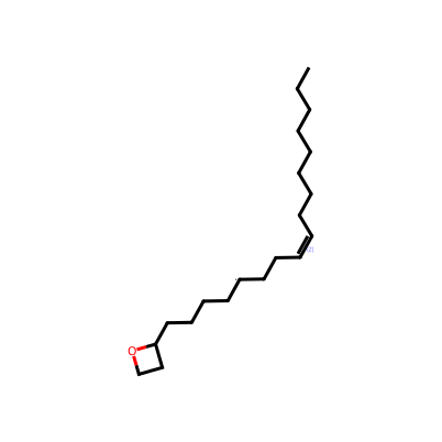 CCCCCCCC/C=C\CC[CH]CCCCC1CCO1